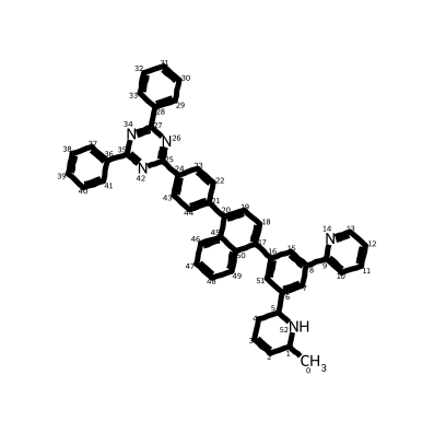 CC1C=CCC(c2cc(-c3ccccn3)cc(-c3ccc(-c4ccc(-c5nc(-c6ccccc6)nc(-c6ccccc6)n5)cc4)c4ccccc34)c2)N1